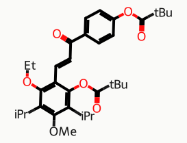 CCOc1c(C=CC(=O)c2ccc(OC(=O)C(C)(C)C)cc2)c(OC(=O)C(C)(C)C)c(C(C)C)c(OC)c1C(C)C